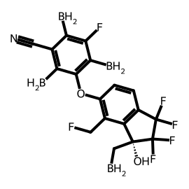 BC[C@@]1(O)c2c(ccc(Oc3c(B)c(F)c(B)c(C#N)c3B)c2CF)C(F)(F)C1(F)F